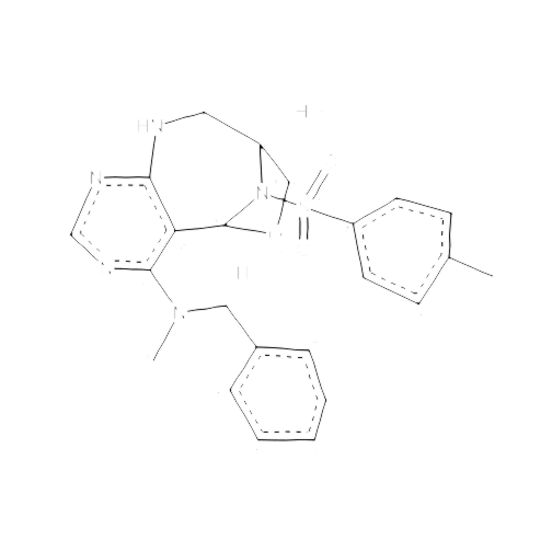 Cc1ccc(S(=O)(=O)N2[C@H]3CNc4ncnc(N(C)Cc5ccccc5)c4[C@@H]2OC3)cc1